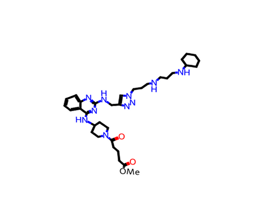 COC(=O)CCCC(=O)N1CCC(Nc2nc(NCc3cn(CCCNCCCNC4CCCCC4)nn3)nc3ccccc23)CC1